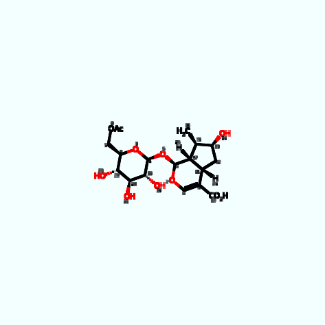 CC(=O)OC[C@H]1O[C@@H](O[C@@H]2OC=C(C(=O)O)[C@H]3C[C@H](O)[C@H](C)[C@@H]23)[C@H](O)[C@@H](O)[C@@H]1O